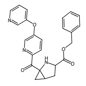 O=C(OCc1ccccc1)C1CC2CC2(C(=O)c2ccc(Oc3cccnc3)cn2)N1